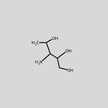 [CH2]C(O)C(N)C(O)CO